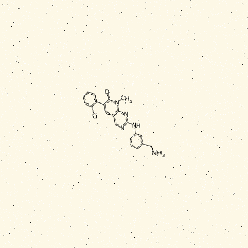 Cn1c(=O)c(-c2ccccc2Cl)cc2cnc(Nc3cccc(CN)c3)nc21